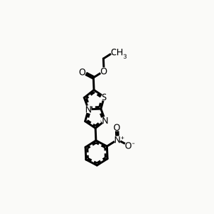 CCOC(=O)c1cn2cc(-c3ccccc3[N+](=O)[O-])nc2s1